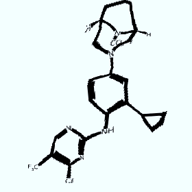 O=C(O)N1[C@@H]2CC[C@H]1CN(c1ccc(Nc3ncc(C(F)(F)F)c(Cl)n3)c(C3CC3)c1)C2